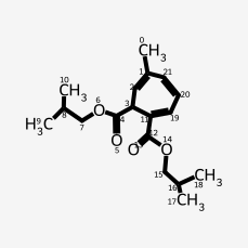 CC1=CC(C(=O)OCC(C)C)C(C(=O)OCC(C)C)=CC=C1